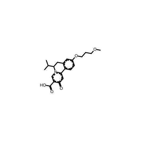 COCCCOc1ccc2c(c1)CC(C(C)C)n1cc(C(=O)O)c(=O)cc1-2